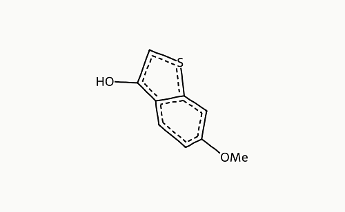 COc1ccc2c(O)csc2c1